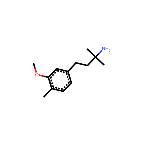 COc1cc(CCC(C)(C)N)ccc1C